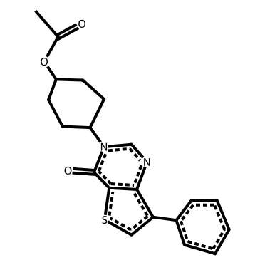 CC(=O)OC1CCC(n2cnc3c(-c4ccccc4)csc3c2=O)CC1